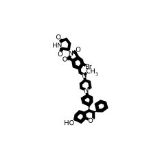 CN(Cc1cc2c(cc1Br)C(=O)N(C1CCC(=O)NC1=O)C2=O)C1CCN(c2ccc([C@@H]3c4ccc(O)cc4OC[C@@H]3c3ccccc3)cc2)CC1